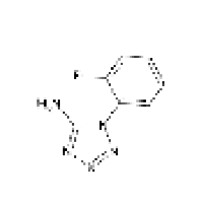 Nc1nnnn1-c1ccccc1F